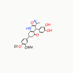 CCOc1ccc(C2CC(=O)C3=C(C2)Nc2onc(C)c2C3c2ccc(O)c(O)c2)cc1OC